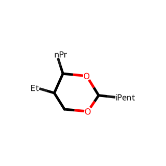 CCCC(C)C1OCC(CC)C(CCC)O1